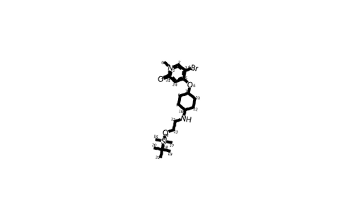 Cn1cc(Br)c(OC2CCC(NCCO[Si](C)(C)C(C)(C)C)CC2)cc1=O